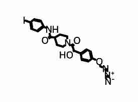 [N-]=[N+]=NCOc1ccc(C(O)C(=O)N2CCC(C(=O)Nc3ccc(I)cc3)CC2)cc1